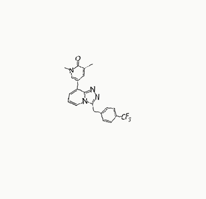 Cc1cc(-c2cccn3c(Cc4ccc(C(F)(F)F)cc4)nnc23)cn(C)c1=O